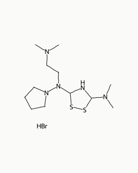 Br.CN(C)CCN(C1NC(N(C)C)SS1)N1CCCC1